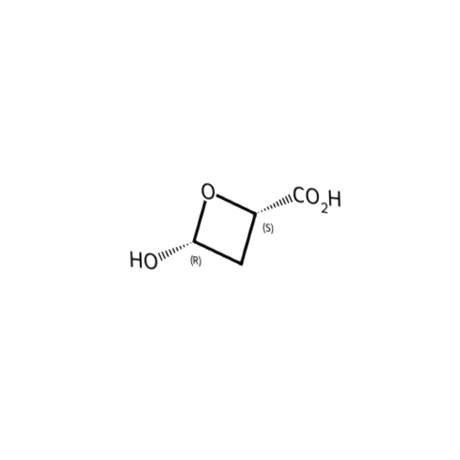 O=C(O)[C@@H]1C[C@H](O)O1